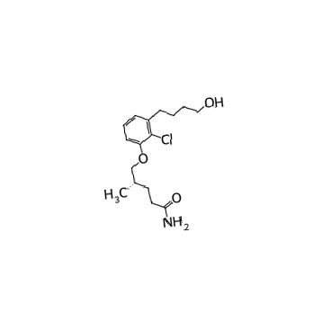 C[C@@H](CCC(N)=O)COc1cccc(CCCCO)c1Cl